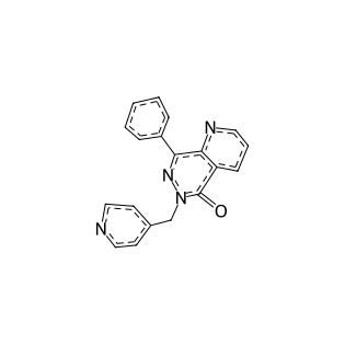 O=c1c2cccnc2c(-c2ccccc2)nn1Cc1ccncc1